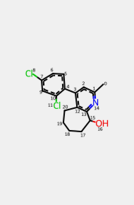 Cc1cc(-c2ccc(Cl)cc2Cl)c2c(n1)C(O)CCCC2